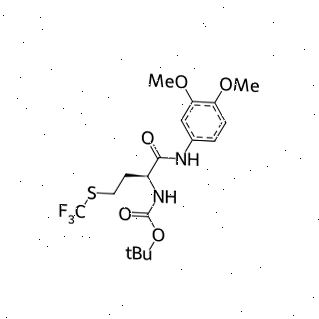 COc1ccc(NC(=O)[C@H](CCSC(F)(F)F)NC(=O)OC(C)(C)C)cc1OC